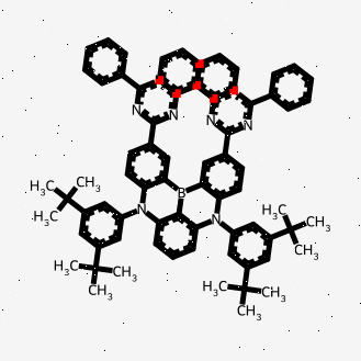 CC(C)(C)c1cc(N2c3ccc(-c4nc(-c5ccccc5)nc(-c5ccccc5)n4)cc3B3c4cc(-c5nc(-c6ccccc6)nc(-c6ccccc6)n5)ccc4N(c4cc(C(C)(C)C)cc(C(C)(C)C)c4)c4cccc2c43)cc(C(C)(C)C)c1